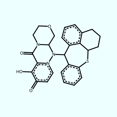 O=C1c2c(O)c(=O)ccn2N(C2c3ccccc3SC3CCCc4cccc2c43)C2COCCN12